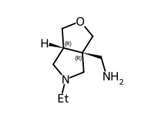 CCN1C[C@@H]2COC[C@]2(CN)C1